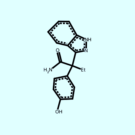 CCC(C(N)=O)(c1ccc(O)cc1)c1n[nH]c2ccccc12